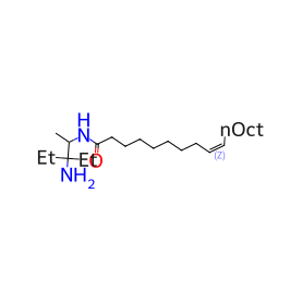 CCCCCCCC/C=C\CCCCCCCC(=O)NC(C)C(N)(CC)CC